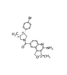 C[C@H]1OCc2c1c(N)nc1ccc(C(=O)N3C[C@H](C)[C@H](c4ccc(Br)cc4)C3)cc21